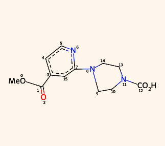 COC(=O)c1ccnc(N2CCN(C(=O)O)CC2)c1